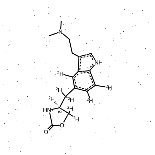 [2H]c1c(C([2H])([2H])[C@]2([2H])NC(=O)OC2([2H])[2H])c([2H])c2c(CCN(C)C)c[nH]c2c1[2H]